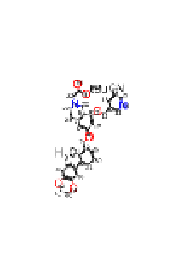 Cc1c(COc2cc3c(c(OCc4cncc(C#N)c4)c2)CN(CC(=O)OC(C)(C)C)CC3)cccc1-c1ccc2c(c1)OCCO2